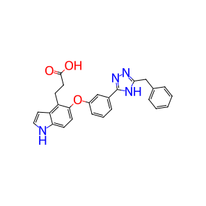 O=C(O)CCc1c(Oc2cccc(-c3nnc(Cc4ccccc4)[nH]3)c2)ccc2[nH]ccc12